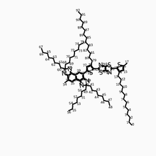 CCCCCCCCCCCCCCc1cc(C)sc1-c1nc2sc(-c3sc(-c4cc5c6c(c(C)cc5c5c4=NC(CCCCCCCC)(CCCCCCCC)N=5)=NC(CCCCCCCC)(CCCCCCCC)N=6)cc3CCCCCCCCCCCCCC)nc2s1